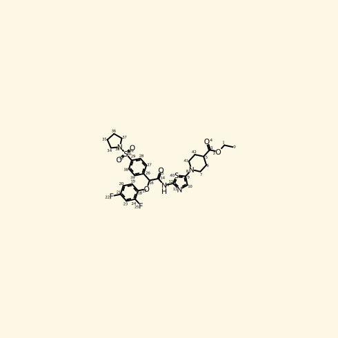 CCOC(=O)C1CCN(c2cnc(NC(=O)C(Oc3ccc(F)cc3F)c3ccc(S(=O)(=O)N4CCCC4)cc3)s2)CC1